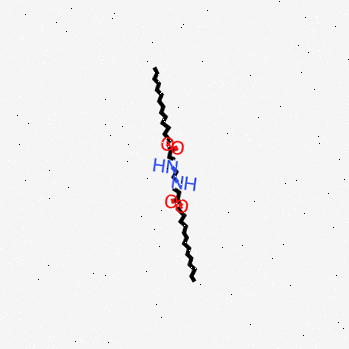 CCCCCCCCCCCCCCOC(=O)CCNCCNCCC(=O)OCCCCCCCCCCCCCC